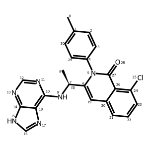 Cc1ccc(-n2c([C@H](C)Nc3ncnc4[nH]cnc34)cc3cccc(Cl)c3c2=O)cc1